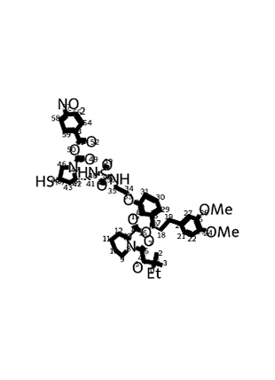 CCC(C)(C)C(=O)C(=O)N1CCCC[C@H]1C(=O)O[C@H](CCc1ccc(OC)c(OC)c1)c1cccc(OCCNS(=O)(=O)NC[C@@H]2C[C@H](S)CN2C(=O)OC(=O)c2ccc([N+](=O)[O-])cc2)c1